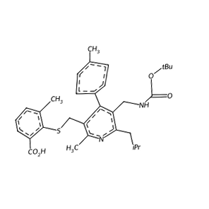 Cc1ccc(-c2c(CSc3c(C)cccc3C(=O)O)c(C)nc(CC(C)C)c2CNC(=O)OC(C)(C)C)cc1